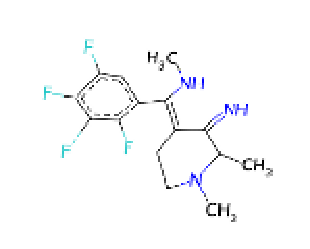 CN/C(=C1/CCN(C)C(C)C1=N)c1cc(F)c(F)c(F)c1F